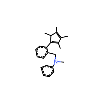 CC1=C(C)C(C)C(c2ccccc2CN(C)c2ccccc2)=C1C